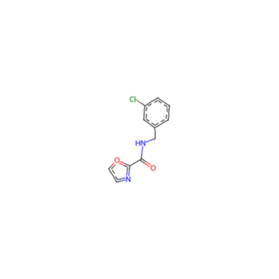 O=C(NCc1cccc(Cl)c1)c1ncco1